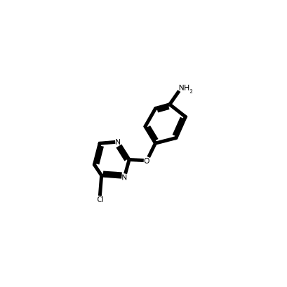 Nc1ccc(Oc2nccc(Cl)n2)cc1